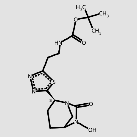 CC(C)(C)OC(=O)NCCc1nnc([C@@H]2CCC3CN2C(=O)N3O)s1